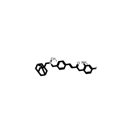 CN(Cc1ccc(/C=C/C(=O)Cc2ccc(F)cc2N)cc1)CC12CC3CC(CC(C3)C1)C2